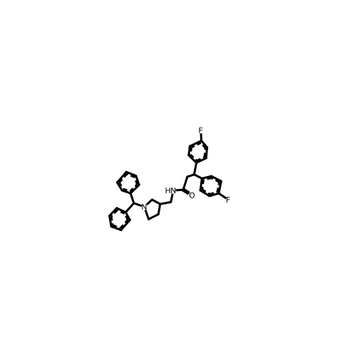 O=C(CC(c1ccc(F)cc1)c1ccc(F)cc1)NCC1CCN(C(c2ccccc2)c2ccccc2)C1